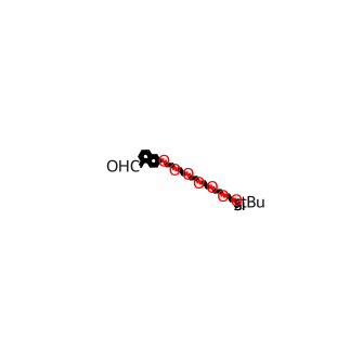 CC(C)(C)[Si](C)(C)OCCOCCOCCOCCOCCOCCOc1ccc2c(CC=O)cccc2c1